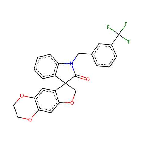 O=C1N(Cc2cccc(C(F)(F)F)c2)c2ccccc2C12COc1cc3c(cc12)OCCO3